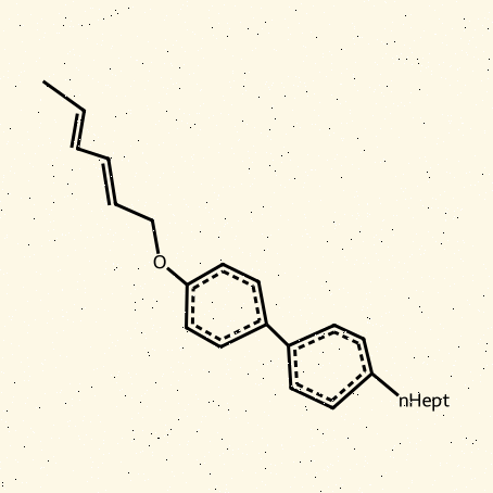 C/C=C/C=C/COc1ccc(-c2ccc(CCCCCCC)cc2)cc1